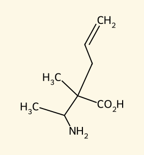 C=CCC(C)(C(=O)O)C(C)N